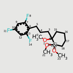 COC1(CCCc2c(F)cc(F)cc2F)CCCC[Si]1(OC)OC